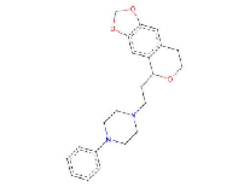 c1ccc(N2CCN(CCC3OCCc4cc5c(cc43)OCO5)CC2)cc1